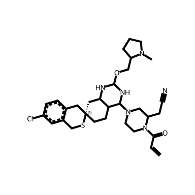 C=CC(=O)N1CCN(C2NC(OCC3CCCN3C)NC3C[C@@]4(CCC32)Cc2ccc(Cl)cc2CS4)CC1CC#N